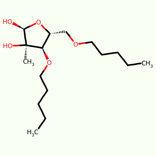 CCCCCOC[C@H]1O[C@H](O)[C@](C)(O)[C@@H]1OCCCCC